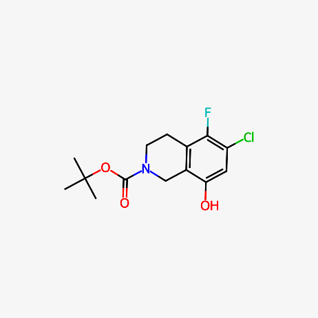 CC(C)(C)OC(=O)N1CCc2c(F)c(Cl)cc(O)c2C1